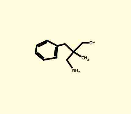 CC(CN)(CO)Cc1ccccc1